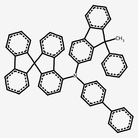 CC1(c2ccccc2)c2ccccc2-c2ccc(N(c3ccc(-c4ccccc4)cc3)c3cccc4c3-c3ccccc3C43c4ccccc4-c4ccccc43)cc21